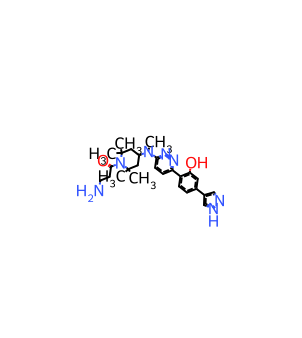 CN(c1ccc(-c2ccc(-c3cn[nH]c3)cc2O)nn1)C1CC(C)(C)N(C(=O)CCN)C(C)(C)C1